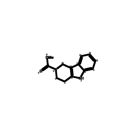 COC(=O)N1CCc2[nH]c3ccccc3c2C1